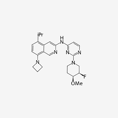 CO[C@H]1CCN(c2nccc(Nc3cc4c(C(C)C)ccc(N5CCC5)c4cn3)n2)C[C@H]1F